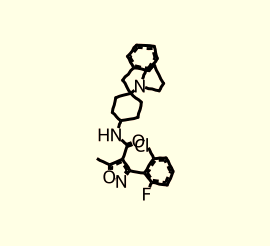 Cc1onc(-c2c(F)cccc2Cl)c1C(=O)NC1CCC(Cc2ccccc2)(N2CCCC2)CC1